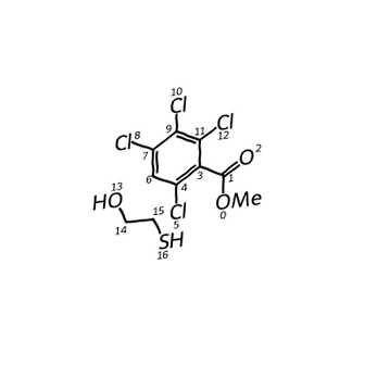 COC(=O)c1c(Cl)cc(Cl)c(Cl)c1Cl.OCCS